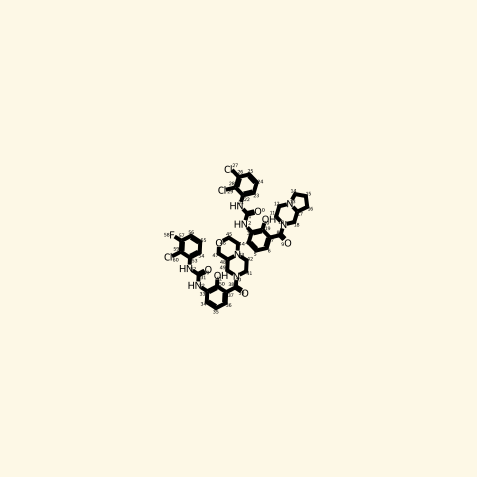 O=C(Nc1cccc(C(=O)N2CCN3CCCC3C2)c1O)Nc1cccc(Cl)c1Cl.O=C(Nc1cccc(C(=O)N2CCN3CCOCC3C2)c1O)Nc1cccc(F)c1Cl